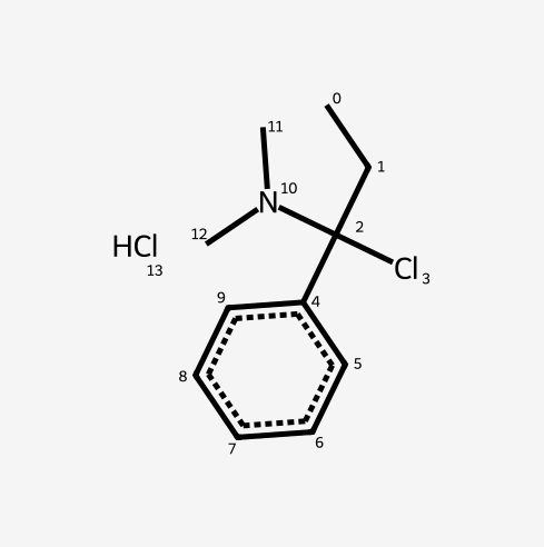 CCC(Cl)(c1ccccc1)N(C)C.Cl